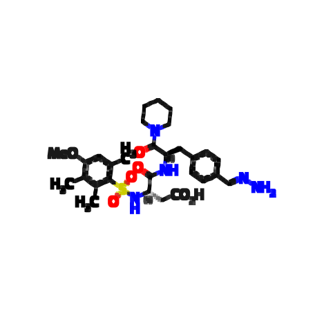 COc1cc(C)c(S(=O)(=O)N[C@@H](CC(=O)O)C(=O)N[C@H](Cc2ccc(C=NN)cc2)C(=O)N2CCCCC2)c(C)c1C